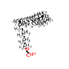 C=CC.C=CC.C=CC.C=CC.C=CC.C=CC.C=CC.C=CC.C=CC.C=CC.C=CC.C=CC.COCCO